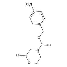 CCC1CN(C(=O)OCc2ccc([N+](=O)[O-])cc2)CCO1